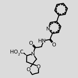 O=C(NCC(=O)N1CC2(C[C@H]1C(=O)O)OCCO2)c1ccc(-c2ccccc2)cn1